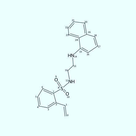 C=Cc1ccccc1S(=O)(=O)NCCNc1cccc2ccccc12